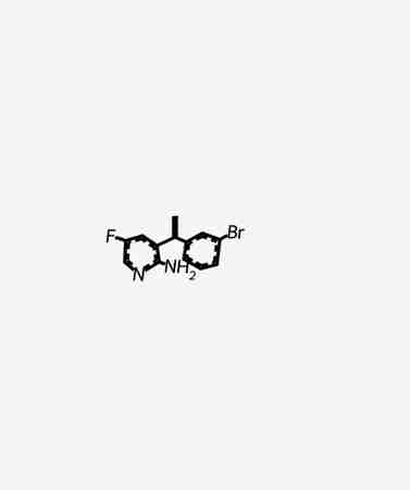 C=C(c1cccc(Br)c1)c1cc(F)cnc1N